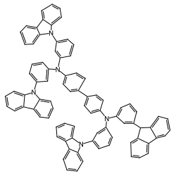 c1cc(C2c3ccccc3-c3ccccc32)cc(N(c2ccc(-c3ccc(N(c4cccc(-n5c6ccccc6c6ccccc65)c4)c4cccc(-n5c6ccccc6c6ccccc65)c4)cc3)cc2)c2cccc(-n3c4ccccc4c4ccccc43)c2)c1